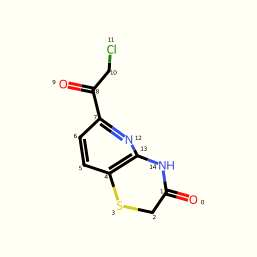 O=C1CSc2ccc(C(=O)CCl)nc2N1